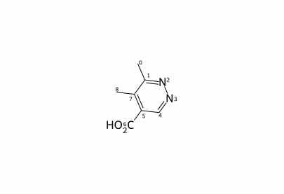 Cc1nncc(C(=O)O)c1C